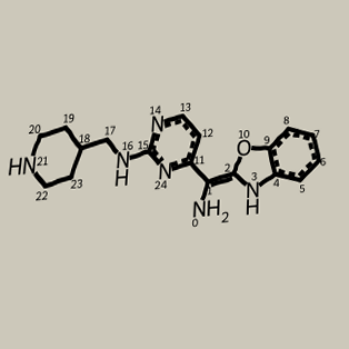 N/C(=C1\Nc2ccccc2O1)c1ccnc(NCC2CCNCC2)n1